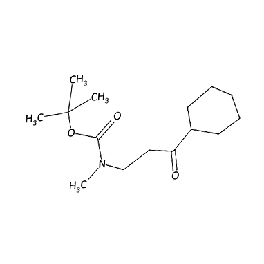 CN(CCC(=O)C1CCCCC1)C(=O)OC(C)(C)C